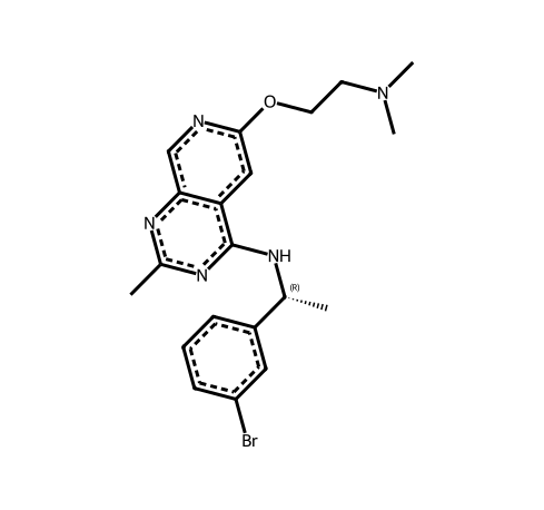 Cc1nc(N[C@H](C)c2cccc(Br)c2)c2cc(OCCN(C)C)ncc2n1